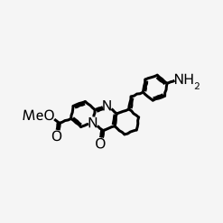 COC(=O)c1ccc2nc3c(c(=O)n2c1)CCCC3=Cc1ccc(N)cc1